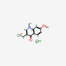 COc1ccc2c(=O)c(CCl)cn(C)c2c1.Cl